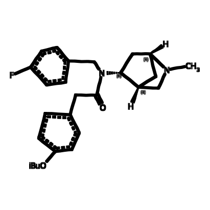 CC(C)COc1ccc(CC(=O)N(Cc2ccc(F)cc2)[C@@H]2C[C@H]3C[C@@H]2CN3C)cc1